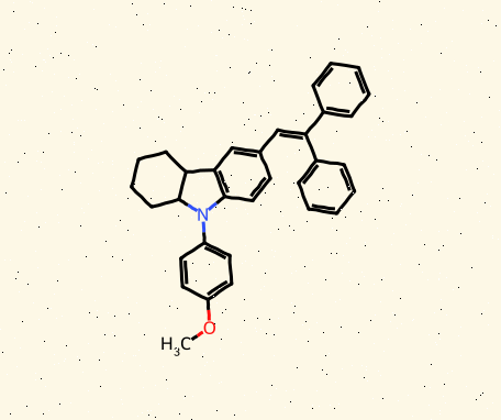 COc1ccc(N2c3ccc(C=C(c4ccccc4)c4ccccc4)cc3C3CCCCC32)cc1